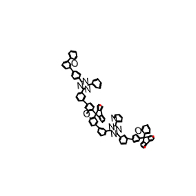 c1ccc(-c2nc(-c3ccc(-c4cccc5c4oc4ccccc45)cc3)nc(-c3cccc(-c4ccc5c(c4)Oc4ccc(-c6cccc(-c7nc(-c8cccc(-c9ccc%10c(c9)Oc9ccccc9C%109c%10ccccc%10-c%10ccccc%109)c8)nc(-c8ccccn8)n7)c6)cc4C54c5ccccc5-c5ccccc54)c3)n2)cc1